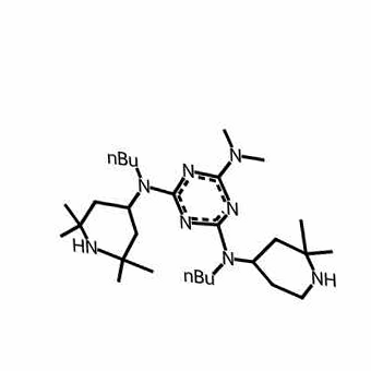 CCCCN(c1nc(N(C)C)nc(N(CCCC)C2CC(C)(C)NC(C)(C)C2)n1)C1CCNC(C)(C)C1